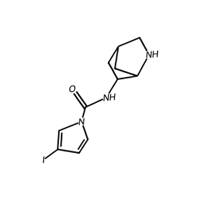 O=C(NC1CC2CNC1C2)n1ccc(I)c1